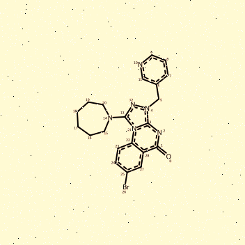 O=c1nc2n(Cc3cccnc3)nc(N3CCCCCC3)n2c2ccc(Br)cc12